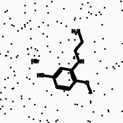 Br.COc1ccc(O)cc1NCCN